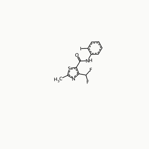 Cc1nc(C(F)F)c(C(=O)Nc2ccccc2I)s1